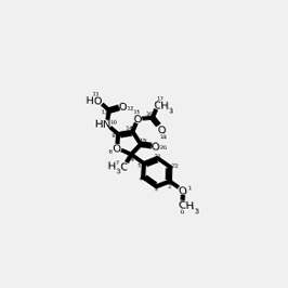 COc1ccc(C2(C)OC(NC(=O)O)=C(OC(C)=O)C2=O)cc1